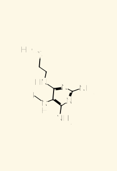 CSCCNc1nc(N)nc(N)c1NI